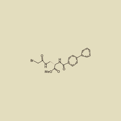 COC(=O)[C@H](CNC(=O)CBr)NC(=O)c1ccc(-c2ccccc2)cc1